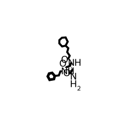 NC(=O)C[C@@H](NC(=O)CCCC1CCCCCC1)C(=O)NCCc1ccccc1